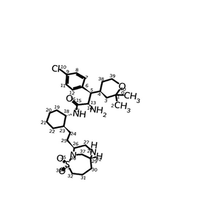 CC1(C)C[C@@H]([C@H](c2ccc(Cl)cc2)[C@H](N)C(=O)N[C@H]2CCCC[C@@H]2CC[C@H]2CN[C@@H]3CCCS(=O)(=O)N2C3)CCO1